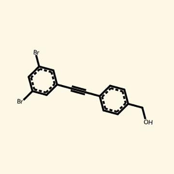 OCc1ccc(C#Cc2cc(Br)cc(Br)c2)cc1